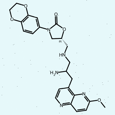 COc1ccc2nccc(CC(N)CNC[C@@H]3CN(c4ccc5c(c4)OCCO5)C(=O)O3)c2n1